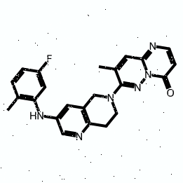 Cc1ccc(F)cc1Nc1cnc2c(c1)CN(c1nn3c(=O)ccnc3cc1C)CC2